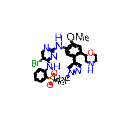 COc1cc(C2CNCCO2)c(-c2cnn(C)c2)cc1Nc1ncc(Br)c(Nc2ccccc2S(=O)(=O)C(C)C)n1